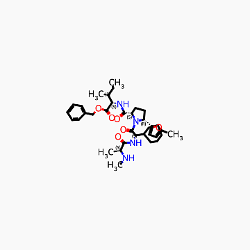 CC[C@H](C)[C@H](NC(=O)[C@@H]1CC[C@H](c2ccc(C)o2)N1C(=O)[C@@H](NC(=O)[C@H](C)NC)C1CCCCC1)C(=O)OCc1ccccc1